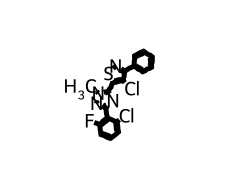 Cn1nc(-c2c(F)cccc2Cl)nc1-c1snc(-c2ccccc2)c1Cl